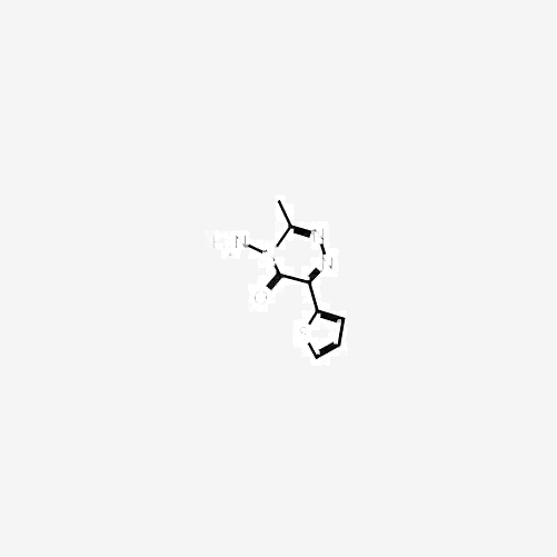 Cc1nnc(-c2cccs2)c(=O)n1N